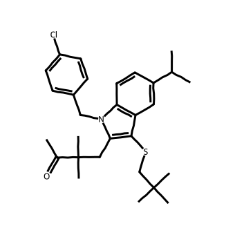 CC(=O)C(C)(C)Cc1c(SCC(C)(C)C)c2cc(C(C)C)ccc2n1Cc1ccc(Cl)cc1